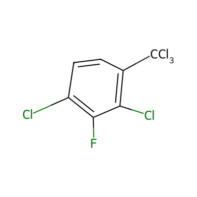 Fc1c(Cl)ccc(C(Cl)(Cl)Cl)c1Cl